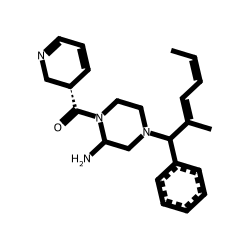 C/C=C\C=C(/C)C(c1ccccc1)N1CCN(C(=O)[C@H]2C=CC=NC2)C(N)C1